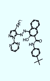 [C-]#[N+]c1cnn(-c2ncccn2)c1/N=N/c1c(O)c(C(=O)Nc2ccc(C(C)(C)C)cc2)cc2ccccc12